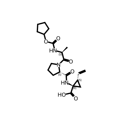 C=C[C@@H]1C[C@]1(NC(=O)[C@@H]1CCCN1C(=O)[C@H](C)NC(=O)OC1CCCC1)C(=O)O